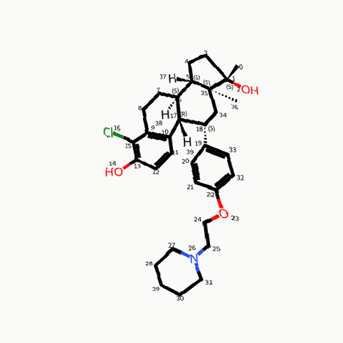 C[C@]1(O)CC[C@H]2[C@@H]3CCc4c(ccc(O)c4Cl)[C@H]3[C@@H](c3ccc(OCCN4CCCCC4)cc3)C[C@@]21C